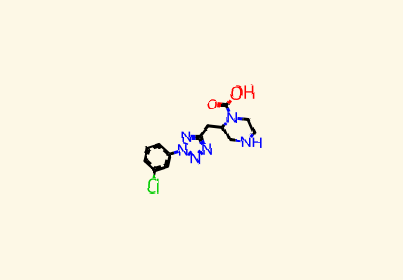 O=C(O)N1CCNCC1Cc1nnn(-c2cccc(Cl)c2)n1